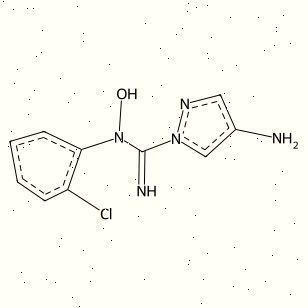 N=C(N(O)c1ccccc1Cl)n1cc(N)cn1